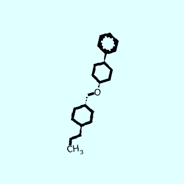 CCC[C@H]1CC[C@H](CO[C@H]2CC[C@H](c3ccccc3)CC2)CC1